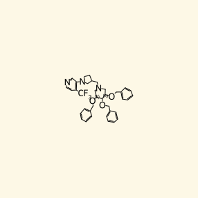 FC(F)(F)c1ccncc1N1CCC(CN2C[C@H](OCc3ccccc3)C(OCc3ccccc3)[C@H](OCc3ccccc3)C2)C1